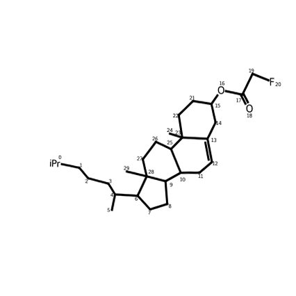 CC(C)CCCC(C)C1CCC2C3CC=C4CC(OC(=O)CF)CCC4(C)C3CCC12C